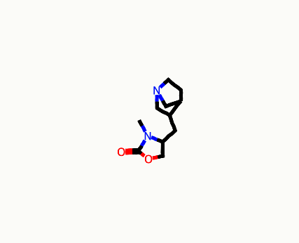 CN1C(=O)OCC1CC1CN2CCC1C2